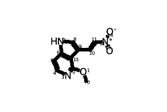 COc1nccc2[nH]cc(/C=C/[N+](=O)[O-])c12